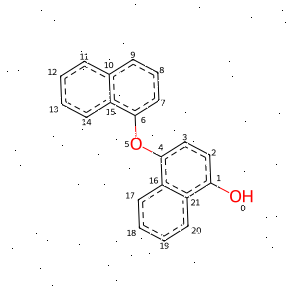 Oc1ccc(Oc2cccc3ccccc23)c2ccccc12